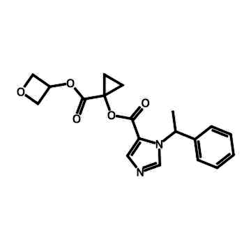 CC(c1ccccc1)n1cncc1C(=O)OC1(C(=O)OC2COC2)CC1